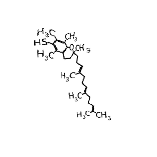 CC(C)=CCC/C(C)=C/CC/C(C)=C/CCC1(C)CCc2c(C)c(S)c(C)c(C)c2O1